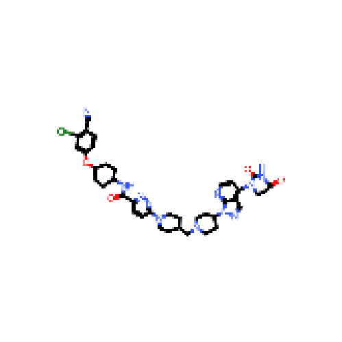 N#Cc1ccc(OC2CCC(NC(=O)c3ccc(N4CCC(CN5CCC(n6ncc7c(N8CCC(=O)NC8=O)ccnc76)CC5)CC4)nn3)CC2)cc1Cl